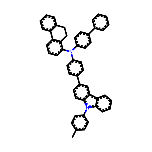 Cc1ccc(-n2c3ccccc3c3cc(-c4ccc(N(c5ccc(-c6ccccc6)cc5)c5cccc6c5CCc5ccccc5-6)cc4)ccc32)cc1